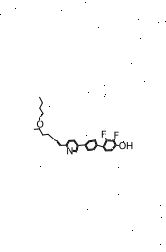 CCCCCOC(C)CCCC=Cc1ccc(-c2ccc(-c3ccc(O)c(F)c3F)cc2)cn1